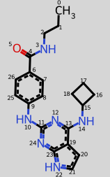 CCCNC(=O)c1ccc(Nc2nc(NC3CCC3)c3cc[nH]c3n2)cc1